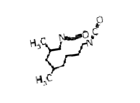 CC(CCCCN=C=O)CC(C)CN=C=O